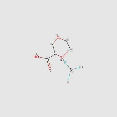 FB(F)F.O=C(O)C1COCCO1